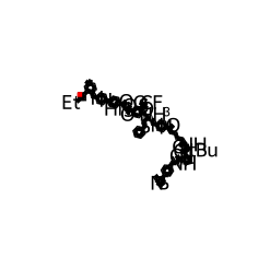 CCC12CC(C3=C(CN4CCN(c5ccc(C(=O)NS(=O)(=O)c6ccc(N[C@H](CCN7CCN(C(=O)CCCCC(=O)N[C@H](C(=O)N8CCC[C@H]8C(=O)NCc8ccc(-c9scnc9C)cc8)C(C)(C)C)CC7)CSc7ccccc7)c(S(=O)(=O)C(F)(F)F)c6)cc5)CC4)CCC(C)(C)C3)(C1)C2